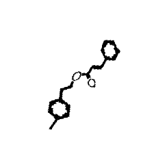 Cc1ccc(CCOC(=O)/C=C/c2ccccc2)cc1